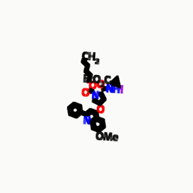 C=CCCCCOC(=O)N1C[C@H](Oc2cc(-c3ccccc3)nc3cc(OC)ccc23)C[C@H]1C(=O)N[C@]1(C(=O)OCC)C[C@H]1I